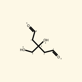 O=[C]CC(O)(CO)C[C]=O